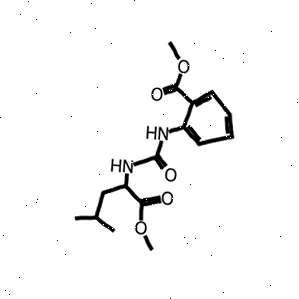 COC(=O)c1ccccc1NC(=O)NC(CC(C)C)C(=O)OC